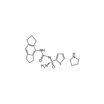 N[S@@](=O)(=NC(=O)Nc1c2c(cc3c1CCC3)CCC2)c1ccc([C@H]2CCCN2)s1